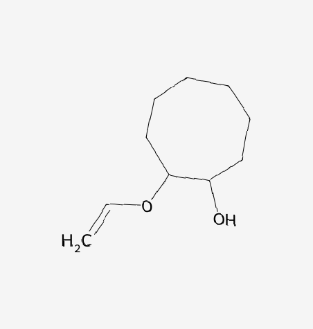 C=COC1CCCCCCC1O